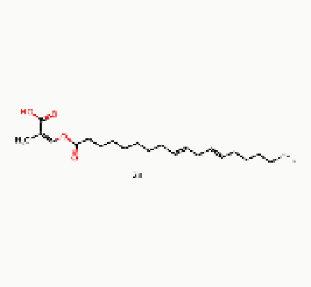 CCCCC/C=C/C/C=C/CCCCCCCC(=O)OC=C(C)C(=O)O.[Zn]